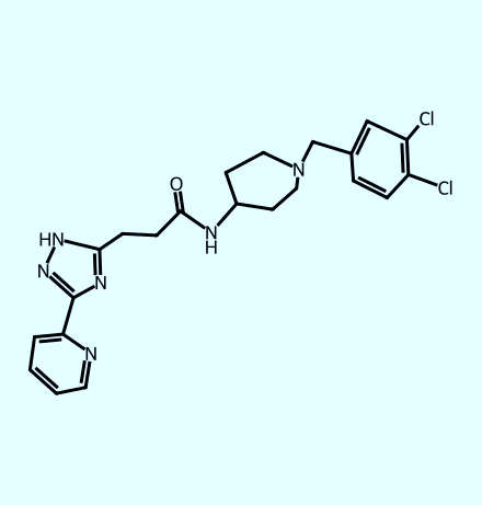 O=C(CCc1nc(-c2ccccn2)n[nH]1)NC1CCN(Cc2ccc(Cl)c(Cl)c2)CC1